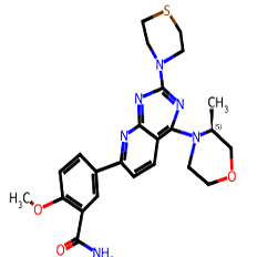 COc1ccc(-c2ccc3c(N4CCOC[C@@H]4C)nc(N4CCSCC4)nc3n2)cc1C(N)=O